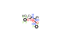 CC(C)[C@H](NC(=O)C(=O)Nc1c(F)cccc1F)C(=O)N[C@@H](CC(=O)O)C(=O)COc1c(F)c(F)cc(F)c1F